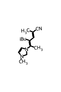 CCC(C)C(/C=C(\C)C#N)=C(/C)N1C=CN(C)C1